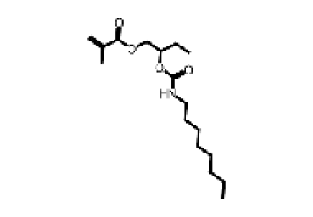 C=C(C)C(=O)OCC(CC)OC(=O)NCCCCCCCC